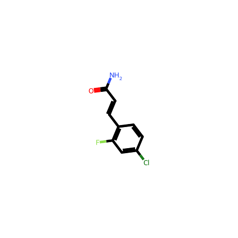 NC(=O)/C=C/c1ccc(Cl)cc1F